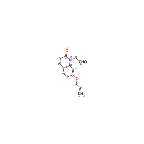 C=CCOc1ccc2ccc(=O)n(CC=O)c2c1